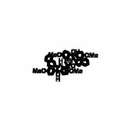 COc1ccc(C(O)(c2ccc(OC)cc2)[C@H](NC(=O)C(C)(C)C(=O)N[C@H](c2ccc3ccccc3c2)C(O)(c2ccc(OC)cc2)c2ccc(OC)cc2)c2ccc3ccccc3c2)cc1